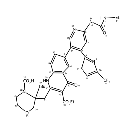 CCNC(=O)Nc1cc(-c2nc(C(F)(F)F)cs2)c(-c2ccc3[nH]c(CC4(C(C)(C)C)COCCN4C(=O)O)c(C(=O)OCC)c(=O)c3c2)cn1